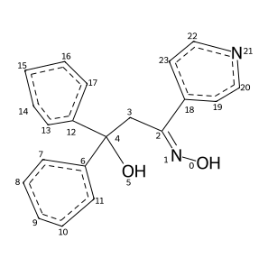 O/N=C(/CC(O)(c1ccccc1)c1ccccc1)c1ccncc1